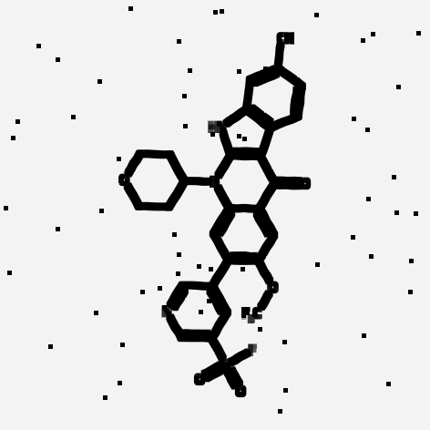 N#Cc1ccc2c(c1)[nH]c1c2c(=O)c2cc(OC(F)(F)F)c(-c3cncc(S(=O)(=O)F)c3)cc2n1C1CCOCC1